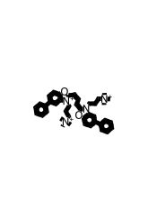 C[N+](C)(C)CCCN1/C(=C\C=C/c2oc3ccc(-c4ccccc4)cc3[n+]2CCC[N+](C)(C)C)Oc2ccc(-c3ccccc3)cc21